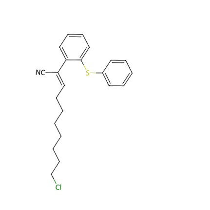 N#C/C(=C\CCCCCCCCl)c1ccccc1Sc1ccccc1